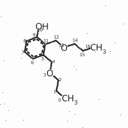 CCCOCc1cccc(O)c1COCCC